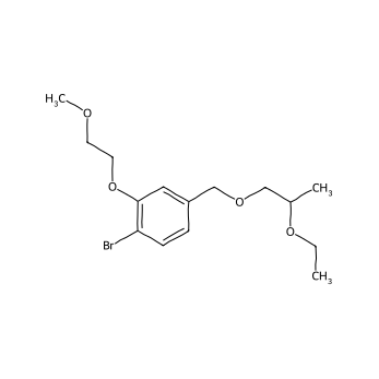 CCOC(C)COCc1ccc(Br)c(OCCOC)c1